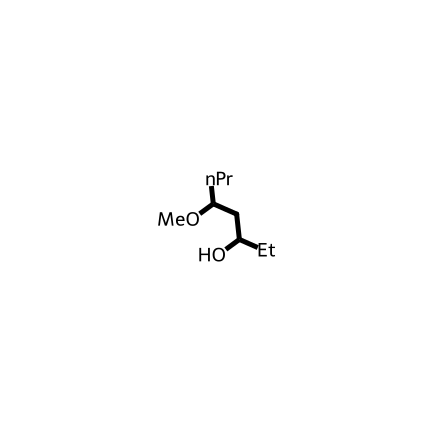 [CH2]CC(O)CC(CCC)OC